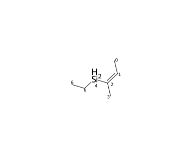 CC=C(C)[SiH2]CC